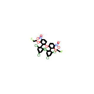 O=[N+]([O-])c1ccc(Oc2ccc([N+](=O)[O-])c(OCCF)c2-c2c(Cl)cc(Cl)cc2Cl)c(-c2c(Cl)cc(Cl)cc2Cl)c1OCCF